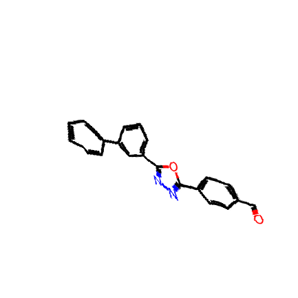 O=Cc1ccc(-c2nnc(-c3cccc(-c4ccccc4)c3)o2)cc1